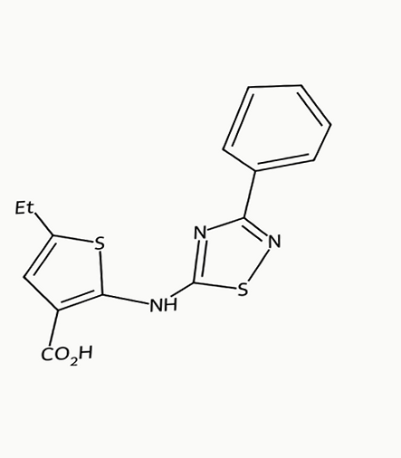 CCc1cc(C(=O)O)c(Nc2nc(-c3ccccc3)ns2)s1